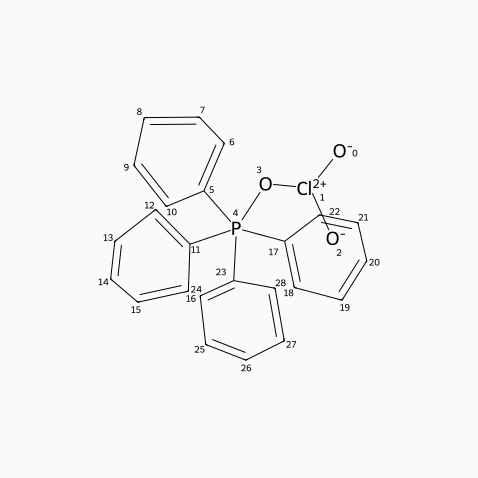 [O-][Cl+2]([O-])OP(c1ccccc1)(c1ccccc1)(c1ccccc1)c1ccccc1